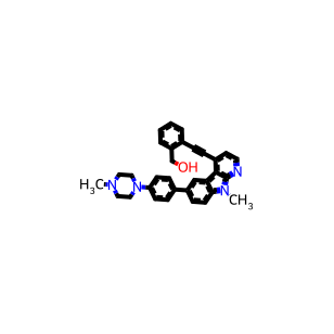 CN1CCN(c2ccc(-c3ccc4c(c3)c3c(C#Cc5ccccc5CO)ccnc3n4C)cc2)CC1